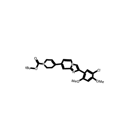 COc1cc(OC)c(-c2cn3ccc(C4=CCN(C(=O)OC(C)(C)C)CC4)cc3n2)cc1Cl